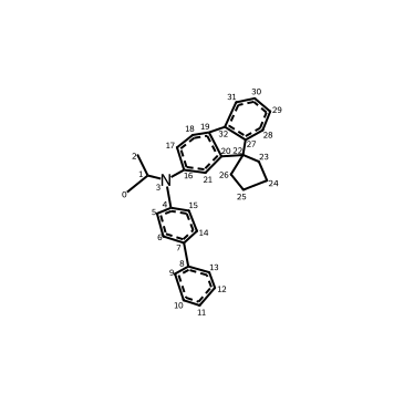 CC(C)N(c1ccc(-c2ccccc2)cc1)c1ccc2c(c1)C1(CCCC1)c1ccccc1-2